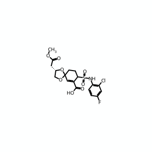 COC(=O)C[C@H]1COC2(C=C(C(=O)O)C(S(=O)(=O)Nc3ccc(F)cc3Cl)CC2)O1